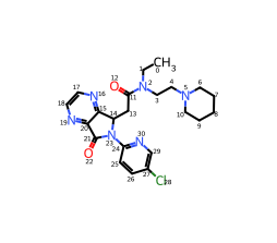 CCN(CCN1CCCCC1)C(=O)CC1c2nccnc2C(=O)N1c1ccc(Cl)cn1